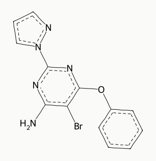 Nc1nc(-n2cccn2)nc(Oc2ccccc2)c1Br